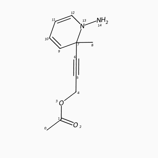 CC(=O)OCC#CC1(C)C=CC=CN1N